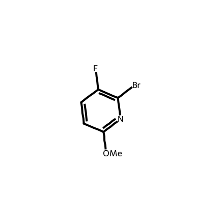 COc1ccc(F)c(Br)n1